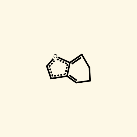 C1=c2ccoc2=CCC1